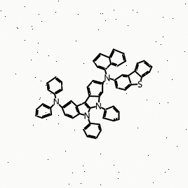 c1ccc(N(c2ccccc2)c2ccc3c(c2)c2c4ccc(N(c5ccc6sc7ccccc7c6c5)c5cccc6ccccc56)cc4n(-c4ccccc4)c2n3-c2ccccc2)cc1